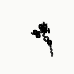 CCCCCCCOc1ccc(CCC(C)(C=CC(=O)OCC)NC(=O)OC(C)(C)C)cc1